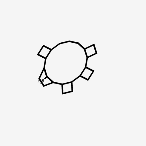 BC1C2CCC1C1CCC1C1CCC1C1CCC1CCCC1CCC12